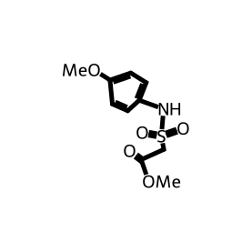 COC(=O)CS(=O)(=O)Nc1ccc(OC)cc1